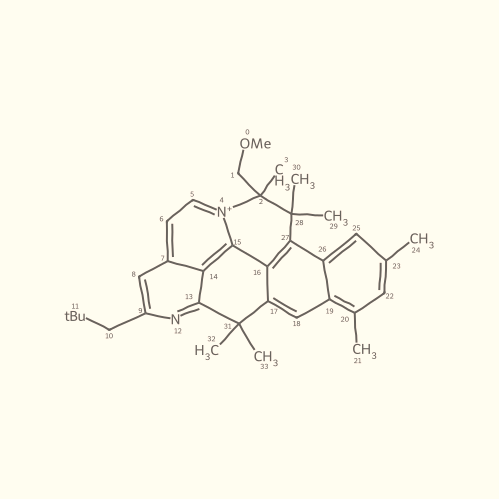 COCC1(C)[n+]2ccc3cc(CC(C)(C)C)nc4c3c2-c2c(cc3c(C)cc(C)cc3c2C1(C)C)C4(C)C